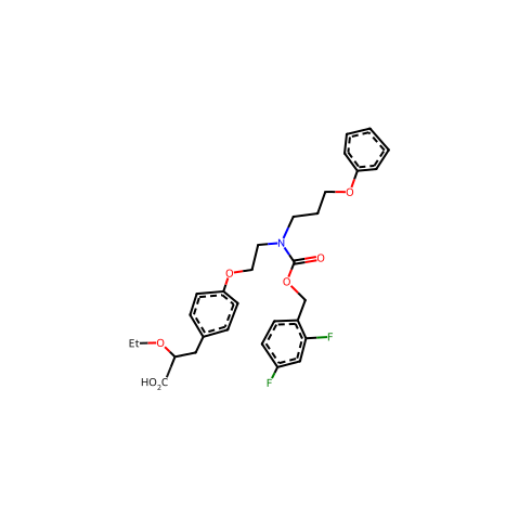 CCOC(Cc1ccc(OCCN(CCCOc2ccccc2)C(=O)OCc2ccc(F)cc2F)cc1)C(=O)O